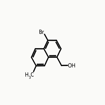 Cc1ccc2c(Br)ccc(CO)c2c1